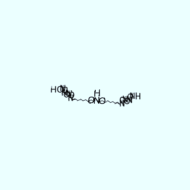 CNON(C)ON(C)ON(C)/C=C/CCCCCOCNCOCCCCC/C=C/N(C)ON(C)ON(C)ON(C)O